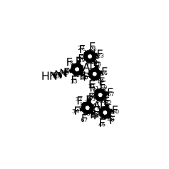 Fc1c(F)c(F)[c]([Al]([c]2c(F)c(F)c(F)c(F)c2F)[c]2c(F)c(F)c(F)c(F)c2F)c(F)c1F.Fc1c(F)c(F)[c]([Al]([c]2c(F)c(F)c(F)c(F)c2F)[c]2c(F)c(F)c(F)c(F)c2F)c(F)c1F.[N-]=[N+]=N